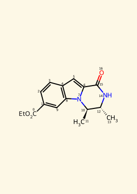 CCOC(=O)c1ccc2cc3n(c2c1)[C@H](C)[C@@H](C)NC3=O